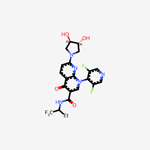 CCC(NC(=O)c1cn(-c2c(F)cncc2F)c2nc(N3C[C@@H](O)[C@H](O)C3)ccc2c1=O)C(F)(F)F